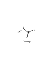 CN(C)C.[CH2]C.[Zr]